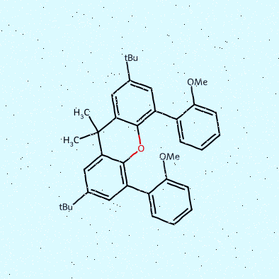 COc1ccccc1-c1cc(C(C)(C)C)cc2c1Oc1c(-c3ccccc3OC)cc(C(C)(C)C)cc1C2(C)C